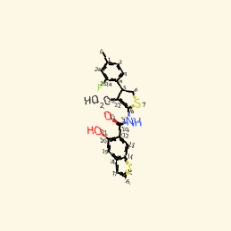 Cc1ccc(C2CSC(NC(=O)c3cc4sccc4cc3O)=C2C(=O)O)c(F)c1